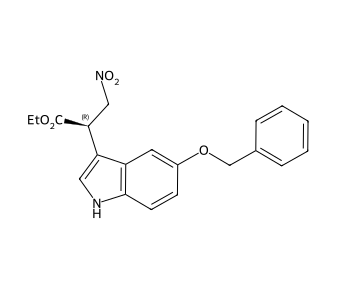 CCOC(=O)[C@@H](C[N+](=O)[O-])c1c[nH]c2ccc(OCc3ccccc3)cc12